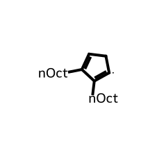 CCCCCCCCC1=[C]CC=C1CCCCCCCC